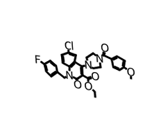 CCOC(=O)c1c(N2CCN(C(=O)c3ccc(OC)cc3)CC2)c2cc(Cl)ccc2n(Cc2ccc(F)cc2)c1=O